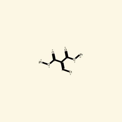 CCC=C(C(=O)OC(C)C)C(=O)OC(C)C